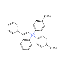 COc1ccc([N+](C=Cc2ccccc2)(c2ccccc2)c2ccc(OC)cc2)cc1